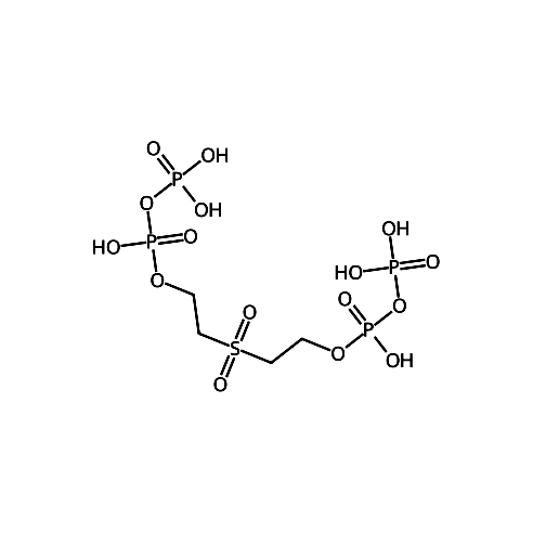 O=P(O)(O)OP(=O)(O)OCCS(=O)(=O)CCOP(=O)(O)OP(=O)(O)O